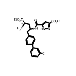 CCOC(=O)[C@H](C)CC(Cc1ccc(-c2cccc(Cl)c2)cc1)NC(=O)c1cc(C(=O)O)n[nH]1